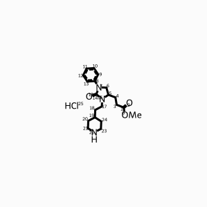 COC(=O)CCC1CN(c2ccccc2)C(=O)N1CCC1CCNCC1.Cl